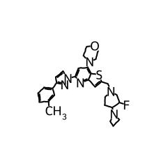 Cc1cccc(-c2ccn(-c3cc(N4CCOCC4)c4sc(CN5CCC(N6CCC6)C(F)C5)cc4n3)n2)c1